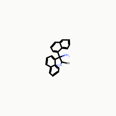 CC(C)C(N)C(N)(c1cccc2ccccc12)c1cccc2ccccc12